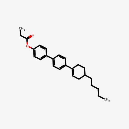 CCCCCC1CC=C(c2ccc(-c3ccc(OC(=O)CC)cc3)cc2)CC1